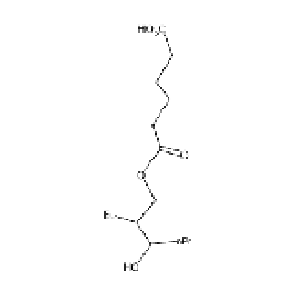 CCCC(O)C(CC)COC(=O)CCCCC(=O)O